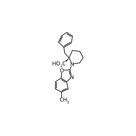 Cc1ccc2oc(N3CCCC[C@]3(Cc3ccccc3)C(=O)O)nc2c1